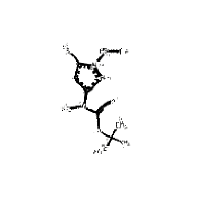 Bc1cc(N(C)C(=O)OC(C)(C)C)nn1BF